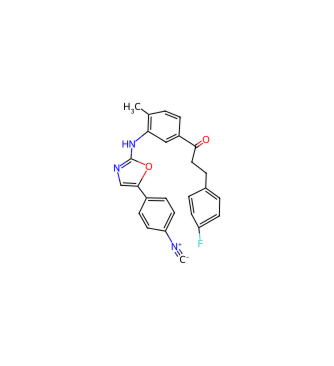 [C-]#[N+]c1ccc(-c2cnc(Nc3cc(C(=O)CCc4ccc(F)cc4)ccc3C)o2)cc1